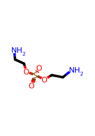 NCCOS(=O)(=O)OCCN